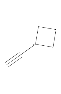 C#C[C]1CCC1